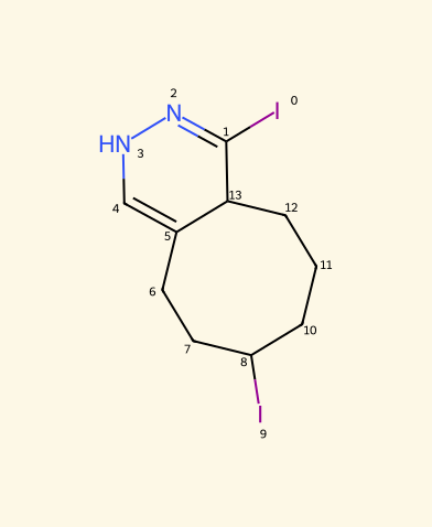 IC1=NNC=C2CCC(I)CCCC21